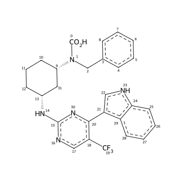 O=C(O)N(Cc1ccccc1)[C@H]1CCC[C@@H](Nc2ncc(C(F)(F)F)c(-c3c[nH]c4ccccc34)n2)C1